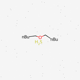 CCCCCOCCCCC.S